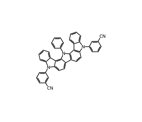 N#Cc1cccc(-n2c3ccccc3c3c2ccc2c4ccc5c(c6ccccc6n5-c5cccc(C#N)c5)c4n(-c4ccccc4)c23)c1